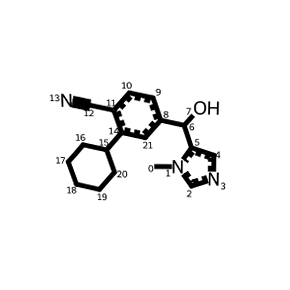 Cn1cncc1C(O)c1ccc(C#N)c(C2CCCCC2)c1